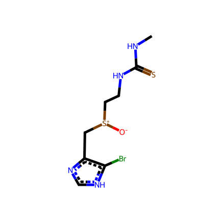 CNC(=S)NCC[S+]([O-])Cc1nc[nH]c1Br